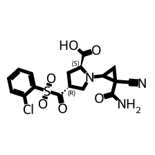 N#CC1(C(N)=O)CC1N1C[C@H](C(=O)S(=O)(=O)c2ccccc2Cl)C[C@H]1C(=O)O